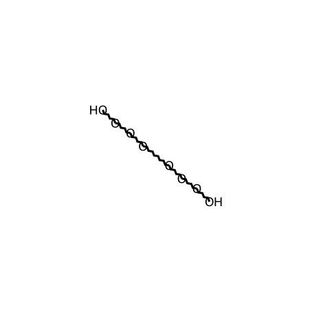 OCCCCOCCCCOCCCCOCCCCCCCCOCCCCOCCCCOCCCCO